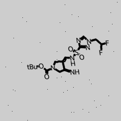 CC(C)(C)OC(=O)N1CC(=N)/C(=C\NS(=O)(=O)c2ncn(CC(F)F)n2)C1